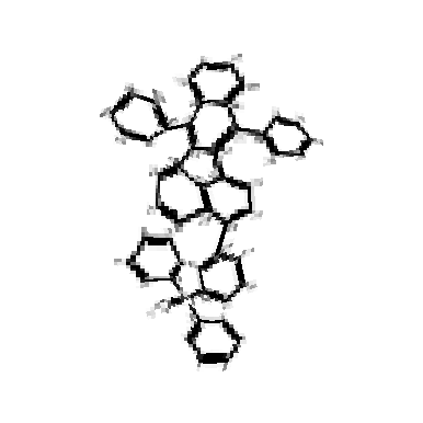 O=P(c1ccccc1)(c1ccccc1)c1cccc(-c2ccc3c4c(cccc24)-c2c-3c(-c3ccccc3)c3ccccc3c2-c2ccccc2)c1